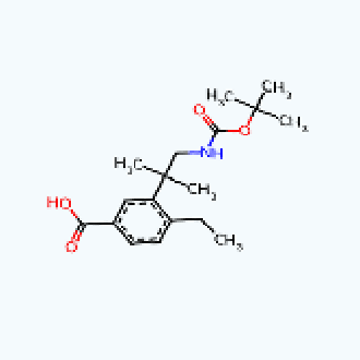 CCc1ccc(C(=O)O)cc1C(C)(C)CNC(=O)OC(C)(C)C